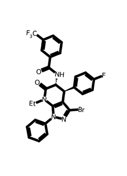 CCN1C(=O)[C@H](NC(=O)c2cccc(C(F)(F)F)c2)[C@@H](c2ccc(F)cc2)c2c(Br)nn(-c3ccccc3)c21